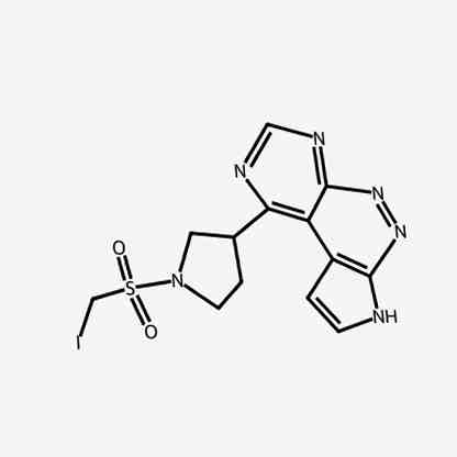 O=S(=O)(CI)N1CCC(c2ncnc3nnc4[nH]ccc4c23)C1